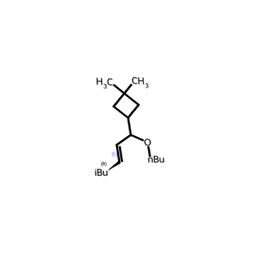 CCCCOC(/C=C/[C@H](C)CC)C1CC(C)(C)C1